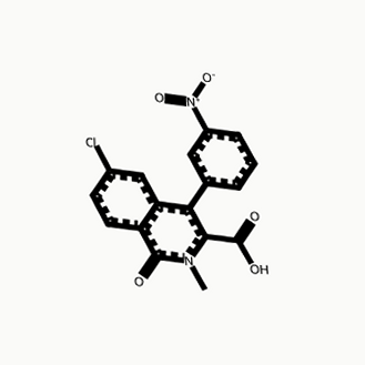 Cn1c(C(=O)O)c(-c2cccc([N+](=O)[O-])c2)c2cc(Cl)ccc2c1=O